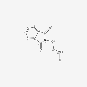 O=C1c2ccccc2C(=O)N1OCNCl